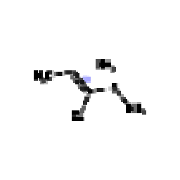 C/C=C(\CC)SN.N